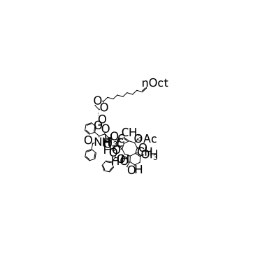 CCCCCCCC/C=C\CCCCCCCC1OC[C@@H](COC(=O)O[C@@H](C(=O)O[C@H]2C[C@@]3(O)[C@@H](OC(=O)c4ccccc4)[C@@H]4[C@]5(O)CO[C@@H]5C[C@H](O)[C@@]4(C)C(=O)[C@H](OC(C)=O)C(=C2C)C3(C)C)[C@@H](NC(=O)c2ccccc2)c2ccccc2)O1